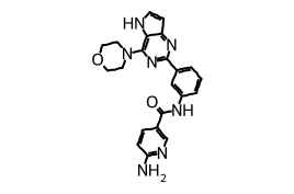 Nc1ccc(C(=O)Nc2cccc(-c3nc(N4CCOCC4)c4[nH]ccc4n3)c2)cn1